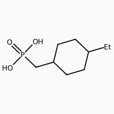 CCC1CCC(CP(=O)(O)O)CC1